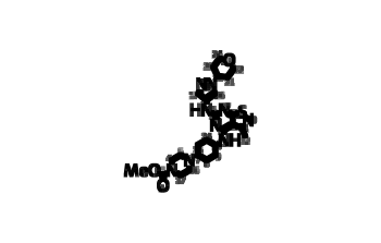 COC(=O)N1CCN([C@H]2CC[C@H](Nc3nc(Nc4cnn(C5CCOCC5)c4)nc4snc(C)c34)CC2)CC1